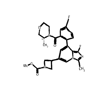 Cc1nc(F)c2c(-c3ccc(F)cc3C(=O)N3CCOC[C@H]3C)cc(C3CN(C(=O)OC(C)(C)C)C3)cn12